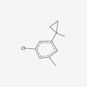 Cc1cc(Cl)cc(C2(C)CC2)c1